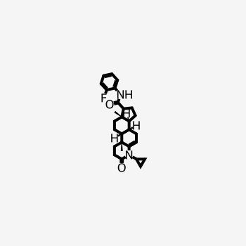 C[C@]12CCC(=O)N(C3CC3)C1=CC[C@@H]1[C@H]2CC[C@]2(C)C(C(=O)Nc3ccccc3F)CC[C@@H]12